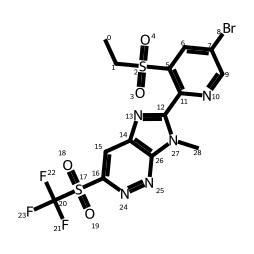 CCS(=O)(=O)c1cc(Br)cnc1-c1nc2cc(S(=O)(=O)C(F)(F)F)nnc2n1C